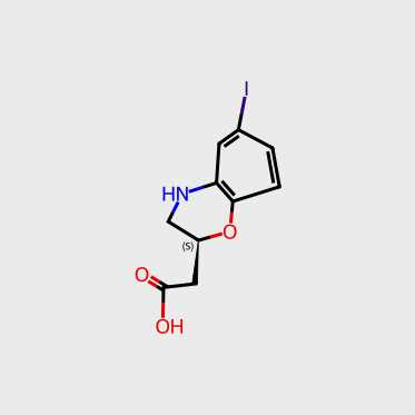 O=C(O)C[C@H]1CNc2cc(I)ccc2O1